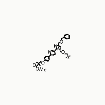 COC(=O)C(C)(C)COc1ccc(-c2ccc(-c3nc(COCc4ccccc4)cn3COCCS(C)(C)C)cn2)cc1